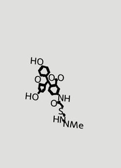 CNNCSCC(=O)Nc1ccc2c(c1)C(=O)OC21c2ccc(O)cc2Oc2cc(O)ccc21